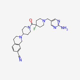 N#Cc1ccc2c(c1)CN(C1CCN(C(=O)C3(F)CCN(Cc4cnc(N)nc4)CC3)CC1)CC2